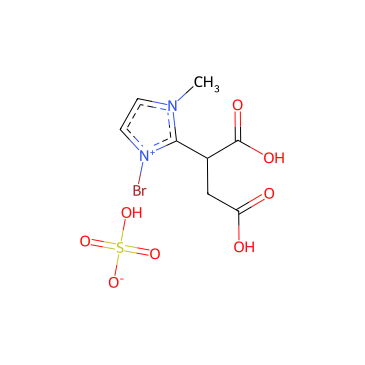 Cn1cc[n+](Br)c1C(CC(=O)O)C(=O)O.O=S(=O)([O-])O